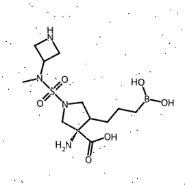 CN(C1CNC1)S(=O)(=O)N1CC(CCCB(O)O)[C@](N)(C(=O)O)C1